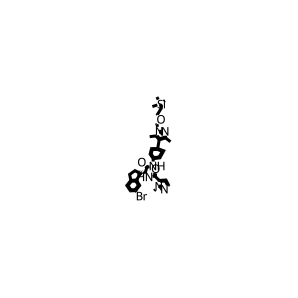 Cc1nn(COCC[Si](C)(C)C)c(C)c1-c1ccc(NC(=O)C(NC(=O)c2ccnn2C)[C@@H]2CCc3ccc(Br)cc32)cc1